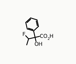 CC(F)C(O)(C(=O)O)c1ccccc1